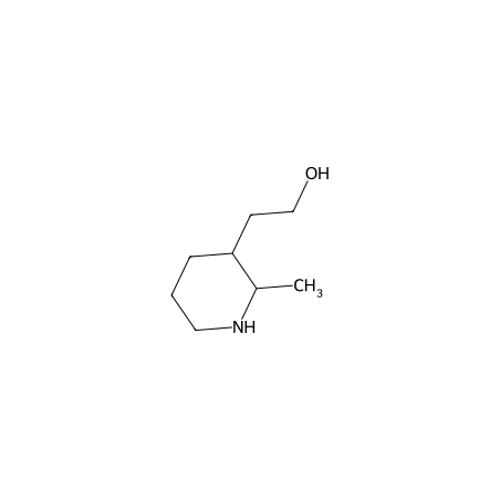 CC1NCCCC1CCO